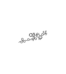 CCOC(=O)OCCOCCN(C)C(=O)n1c([S+]([O-])Cc2nccc(OCC(F)(F)F)c2C)nc2ccccc21